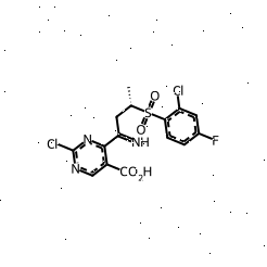 C[C@@H](CC(=N)c1nc(Cl)ncc1C(=O)O)S(=O)(=O)c1ccc(F)cc1Cl